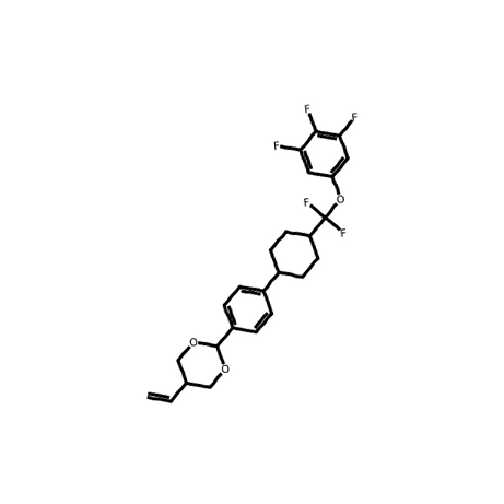 C=CC1COC(c2ccc(C3CCC(C(F)(F)Oc4cc(F)c(F)c(F)c4)CC3)cc2)OC1